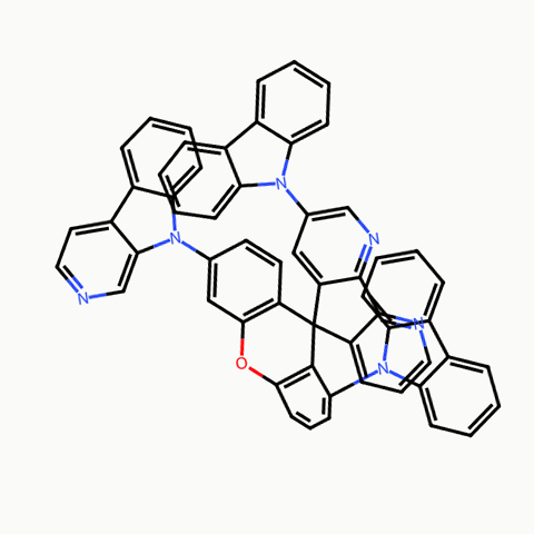 c1cc2c(c(-n3c4ccccc4c4ccccc43)c1)C1(c3ccc(-n4c5ccccc5c5ccncc54)cc3O2)c2cccnc2-c2ncc(-n3c4ccccc4c4ccccc43)cc21